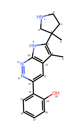 Cc1c(C2(C)CCNC2)[nH]c2nnc(-c3ccccc3O)cc12